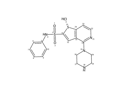 Cl.O=S(=O)(Nc1ccccc1)c1cc2c(N3CCNCC3)nccc2s1